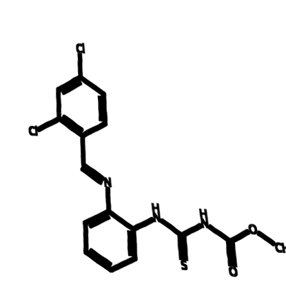 COC(=O)NC(=S)Nc1ccccc1N=Cc1ccc(Cl)cc1Cl